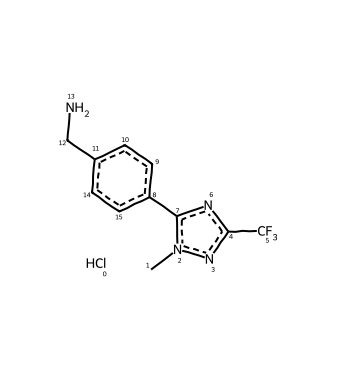 Cl.Cn1nc(C(F)(F)F)nc1-c1ccc(CN)cc1